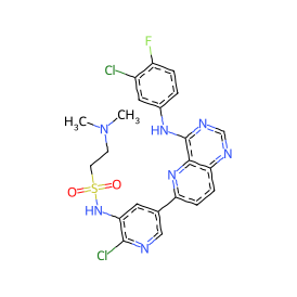 CN(C)CCS(=O)(=O)Nc1cc(-c2ccc3ncnc(Nc4ccc(F)c(Cl)c4)c3n2)cnc1Cl